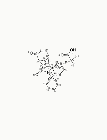 O=C(O)C(F)(F)F.O=C1C=CC2C3C(=O)N(c4ccccc4)C(=O)C3C1N2Cc1ccccc1Cl